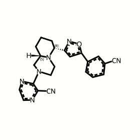 N#Cc1cccc(-c2cc([C@H]3CCC[C@H]4CN(c5nccnc5C#N)CCN43)no2)c1